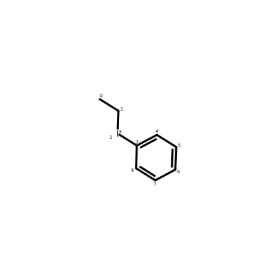 CC[I+]c1ccccc1